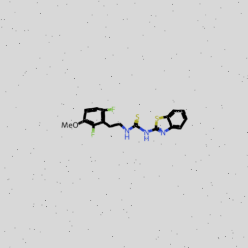 COc1ccc(F)c(CCNC(=S)Nc2nc3ccccc3s2)c1F